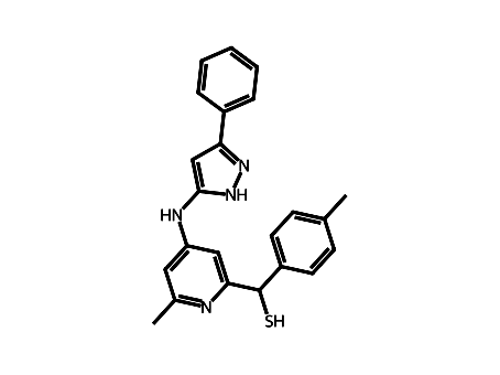 Cc1ccc(C(S)c2cc(Nc3cc(-c4ccccc4)n[nH]3)cc(C)n2)cc1